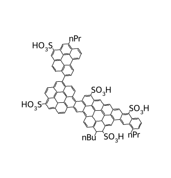 CCCCC1C2=C3C4C(=Cc5c6cc7c(CCC)cccc7c(S(=O)(=O)O)c6cc6cc7cc8c(S(=O)(=O)O)cc9c%10c(cc%11c%12c%13c%14c(ccc%15c(-c%16ccc%17c%18cccc%19c(CCC)cc%20c(S(=O)(=O)O)cc%21ccc%16c%17c%21c%20c%19%18)cc%16ccc%17c(c%16c%15%14)C%13C(=CC=%17S(=O)(=O)O)C=C%12)c%119)=C(C=C2)C3c(c7c4c56)c8%10)C1S(=O)(=O)O